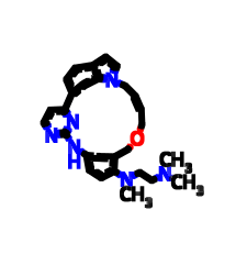 CN(C)CCN(C)c1ccc2cc1COC/C=C\Cn1ccc3ccc(cc31)-c1ccnc(n1)N2